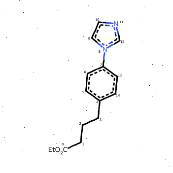 CCOC(=O)CCCc1ccc(-n2ccnc2)cc1